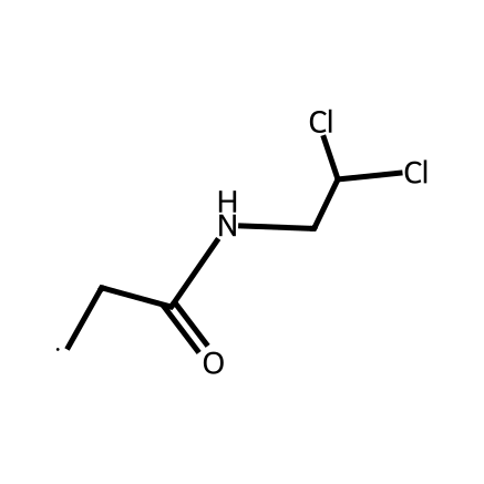 [CH2]CC(=O)NCC(Cl)Cl